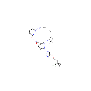 CC1(C)CC2CCCCCNc3cccc(n3)S(=O)(=O)NC(=O)c3ccc(-n4cc(OCCC5(C(F)(F)F)CC5)cn4)nc3N1C2